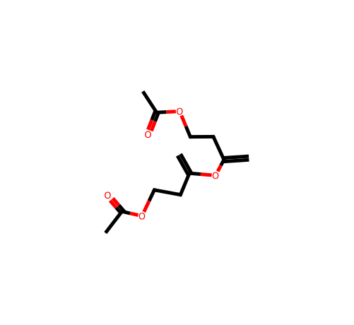 C=C(CCOC(C)=O)OC(=C)CCOC(C)=O